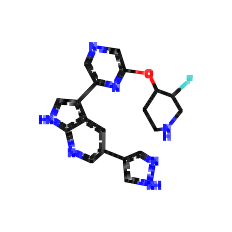 FC1CNCCC1Oc1cncc(-c2c[nH]c3ncc(-c4cn[nH]c4)cc23)n1